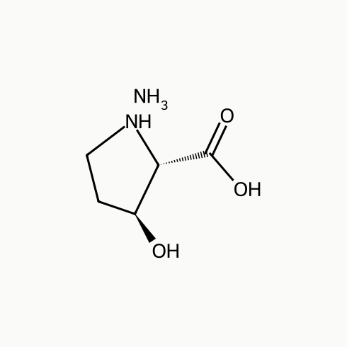 N.O=C(O)[C@H]1NCC[C@@H]1O